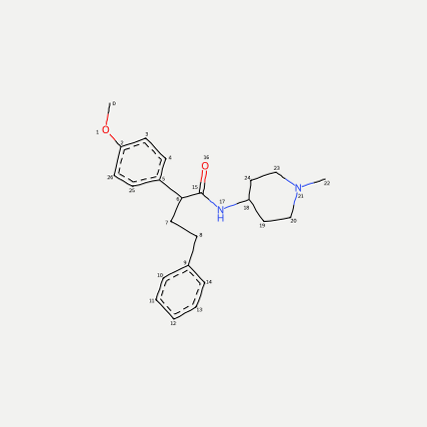 COc1ccc(C(CCc2ccccc2)C(=O)NC2CCN(C)CC2)cc1